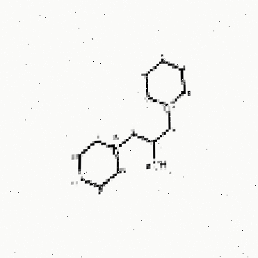 CC(CN1CCCCC1)CN1CCCCC1